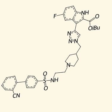 CC(C)COC(=O)c1[nH]c2ccc(F)cc2c1-c1cn(CC2CCN(CCNS(=O)(=O)c3ccc(-c4ccccc4C#N)cc3)CC2)nn1